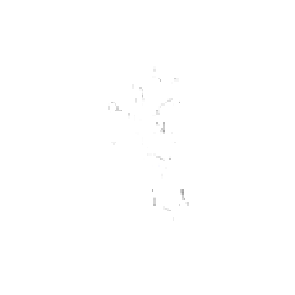 Cc1c(/C=C/C2=CC=C=C=C2)n(C)c2ccccc2c1=O